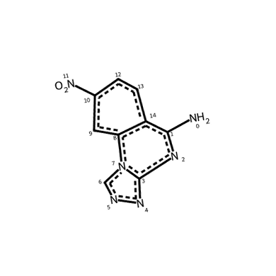 Nc1nc2nncn2c2cc([N+](=O)[O-])ccc12